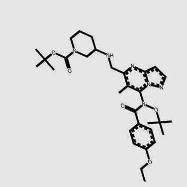 CCOc1ccc(C(=O)N(OC(C)(C)C)c2c(C)c(CNC3CCCN(C(=O)OC(C)(C)C)C3)nc3ccnn23)cc1